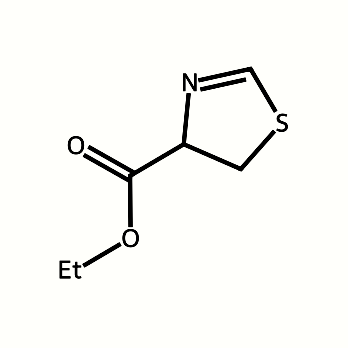 CCOC(=O)C1CSC=N1